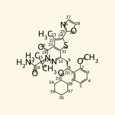 COc1ccccc1[C@H](Cc1nn(C(C)(C)C(N)=O)c(=O)c2c(C)c(-c3ncco3)sc12)OC1CCCCC1